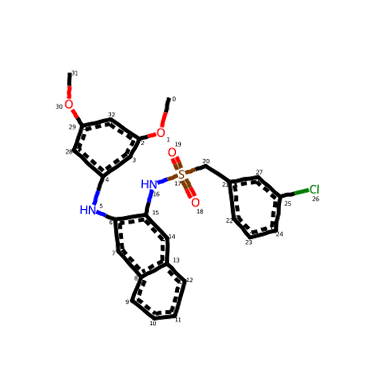 COc1cc(Nc2cc3ccccc3cc2NS(=O)(=O)Cc2cccc(Cl)c2)cc(OC)c1